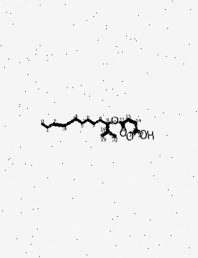 CCCCCCCCCC(OC(=O)/C=C\C(=O)O)C(C)C